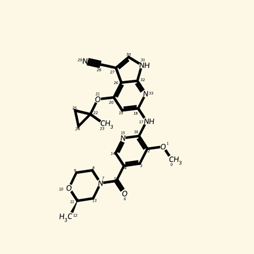 COc1cc(C(=O)N2CCO[C@H](C)C2)cnc1Nc1cc(OC2(C)CC2)c2c(C#N)c[nH]c2n1